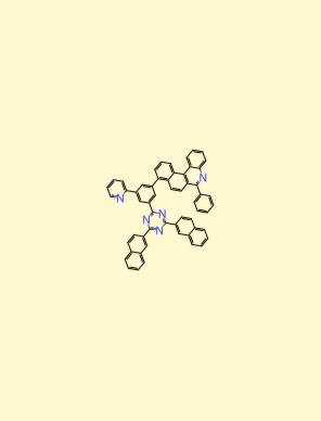 c1ccc(-c2nc3ccccc3c3c2ccc2c(-c4cc(-c5ccccn5)cc(-c5nc(-c6ccc7ccccc7c6)nc(-c6ccc7ccccc7c6)n5)c4)cccc23)cc1